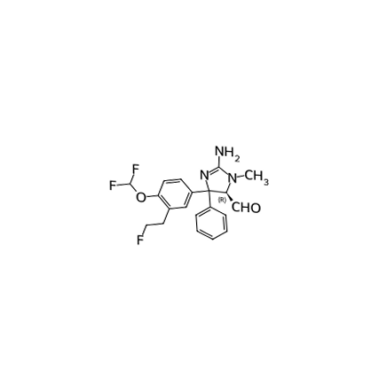 CN1C(N)=NC(c2ccccc2)(c2ccc(OC(F)F)c(CCF)c2)[C@@H]1C=O